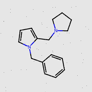 c1ccc(Cn2cccc2CN2CCCC2)cc1